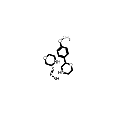 C1COCCN1.COc1ccc(C2CNCCO2)cc1.S=PS